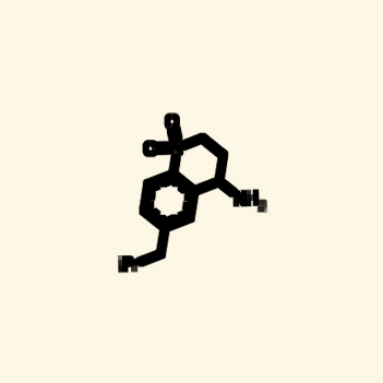 CC(C)Cc1ccc2c(c1)C(N)CCS2(=O)=O